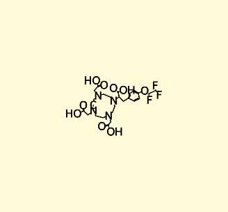 O=C(O)CN1CCN(CC(=O)O)CCN(C(Cc2ccc(OC(F)C(F)F)cc2)C(=O)O)CCN(CC(=O)O)CC1